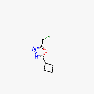 ClCc1nnc(C2CCC2)o1